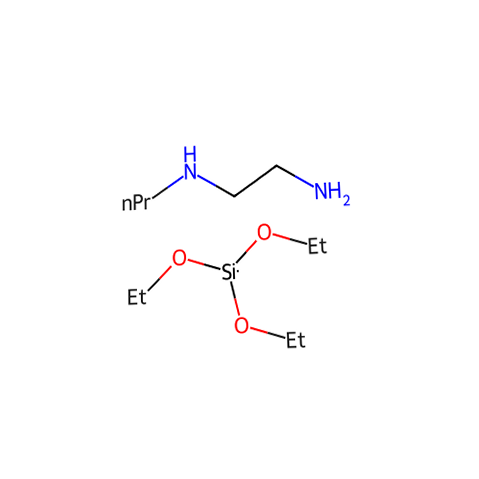 CCCNCCN.CCO[Si](OCC)OCC